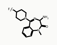 CN1C(=O)C(N)N=C(N2CCC(C(F)(F)F)CC2)c2ccccc21